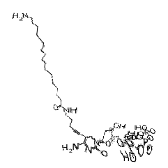 NCCCCCCCCCCCCCCCC(=O)NCCCC#Cc1cn([C@H]2C[C@@H](O)[C@@H](COP(=O)(O)OP(=O)(O)OP(=O)(O)O)O2)c(=O)nc1N